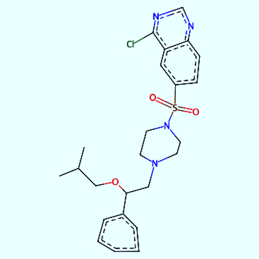 CC(C)COC(CN1CCN(S(=O)(=O)c2ccc3ncnc(Cl)c3c2)CC1)c1ccccc1